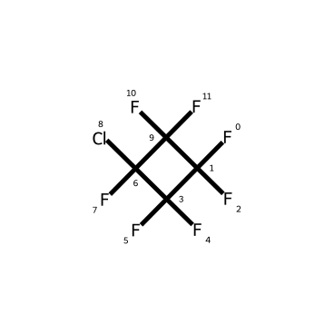 FC1(F)C(F)(F)C(F)(Cl)C1(F)F